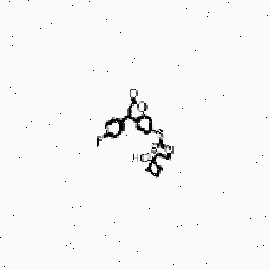 O=c1cc(-c2ccc(F)cc2)c2ccc(Sc3ncc(C4(O)CCC4)s3)cc2o1